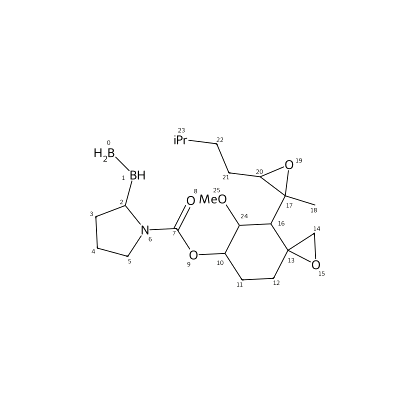 BBC1CCCN1C(=O)OC1CCC2(CO2)C(C2(C)OC2CCC(C)C)C1OC